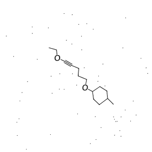 CCOC#CCCCOC1CCC(C)CC1